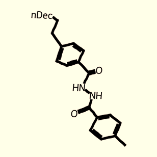 CCCCCCCCCCCCc1ccc(C(=O)NNC(=O)c2ccc(C)cc2)cc1